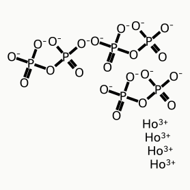 O=P([O-])([O-])OP(=O)([O-])[O-].O=P([O-])([O-])OP(=O)([O-])[O-].O=P([O-])([O-])OP(=O)([O-])[O-].[Ho+3].[Ho+3].[Ho+3].[Ho+3]